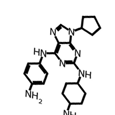 Nc1ccc(Nc2nc(NC3CCC(N)CC3)nc3c2ncn3C2CCCC2)cc1